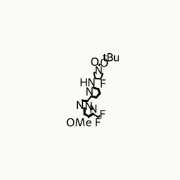 COc1cc2ncc(-c3cccc(N[C@H]4CN(C(=O)OC(C)(C)C)C[C@@H]4F)n3)n2nc1C(F)F